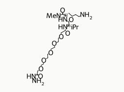 CNC(=O)[C@H](CCCCN)NC(=O)[C@@H](NC(=O)COCCOCCOCCOCCOCC(=O)NN)C(C)C